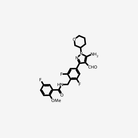 COc1ccc(F)cc1C(=O)NCc1c(F)cc(-c2nn(C3CCCOC3)c(N)c2C=O)cc1F